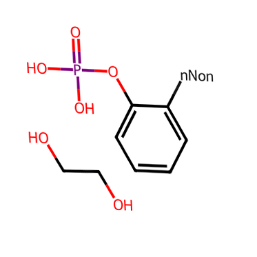 CCCCCCCCCc1ccccc1OP(=O)(O)O.OCCO